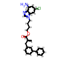 C=C(Cc1cccc(-c2ccccc2)c1)C(=O)OCCCCn1cnc2c(N)cc(Cl)cc21